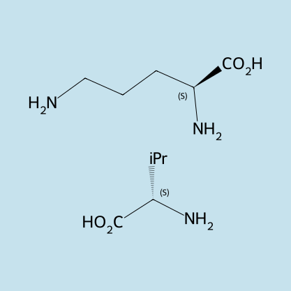 CC(C)[C@H](N)C(=O)O.NCCC[C@H](N)C(=O)O